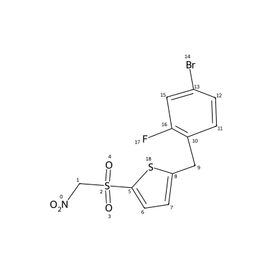 O=[N+]([O-])CS(=O)(=O)c1ccc(Cc2ccc(Br)cc2F)s1